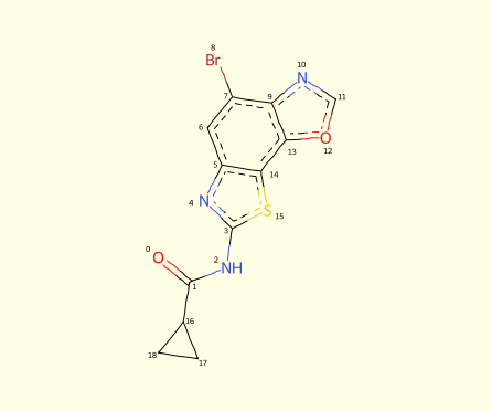 O=C(Nc1nc2cc(Br)c3ncoc3c2s1)C1CC1